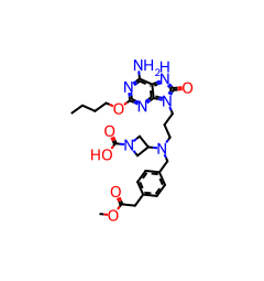 CCCCOc1nc(N)c2[nH]c(=O)n(CCCN(Cc3ccc(CC(=O)OC)cc3)C3CN(C(=O)O)C3)c2n1